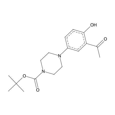 CC(=O)c1cc(N2CCN(C(=O)OC(C)(C)C)CC2)ccc1O